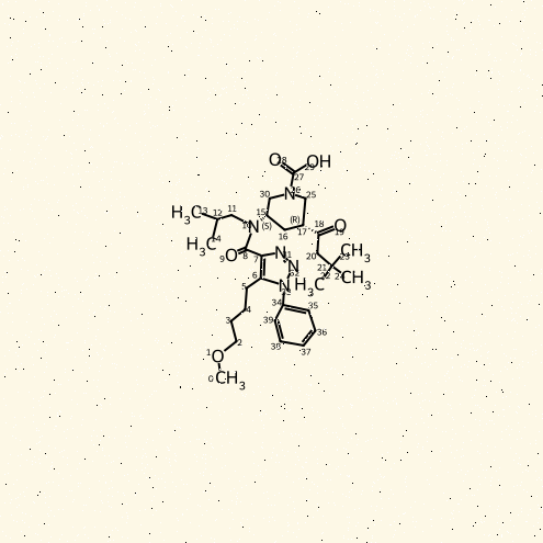 COCCCCc1c(C(=O)N(CC(C)C)[C@H]2C[C@@H](C(=O)CC(C)(C)C)CN(C(=O)O)C2)nnn1-c1ccccc1